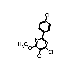 COc1nc(-c2ccc(Cl)cc2)nc(Cl)c1Cl